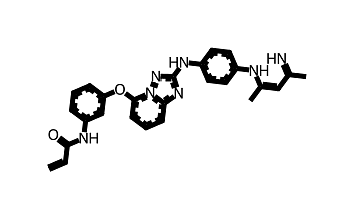 C=CC(=O)Nc1cccc(Oc2cccc3nc(Nc4ccc(N/C(C)=C\C(C)=N)cc4)nn23)c1